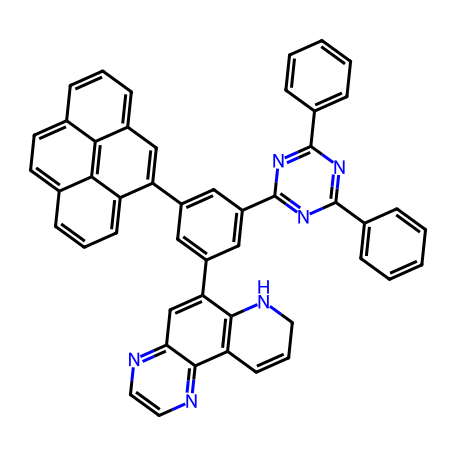 C1=Cc2c(c(-c3cc(-c4nc(-c5ccccc5)nc(-c5ccccc5)n4)cc(-c4cc5cccc6ccc7cccc4c7c65)c3)cc3nccnc23)NC1